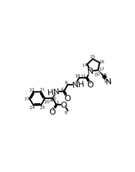 COC(=O)[C@H](NC(=O)CNCC(=O)N1CCC[C@H]1C#N)c1ccccc1